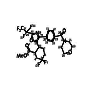 COC(=O)C1CC(F)(F)CCC1c1oc(C(F)(F)C(F)(F)F)nc1-c1ccc(C(=O)N2CCOCC2)cc1